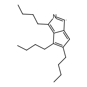 CCCCC1=C(CCCC)C2=C(CCCC)N=[C]C2=C1